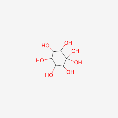 OC1C(O)C(O)C(O)(O)C(O)C1O